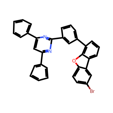 Brc1ccc2oc3c(-c4cccc(-c5nc(-c6ccccc6)cc(-c6ccccc6)n5)c4)cccc3c2c1